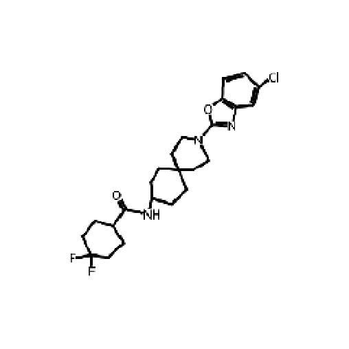 O=C(NC1CCC2(CC1)CCN(c1nc3cc(Cl)ccc3o1)CC2)C1CCC(F)(F)CC1